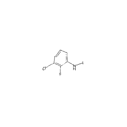 Fc1c(Cl)cccc1NI